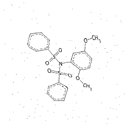 COc1ccc(OC)c(N(S(=O)(=O)c2ccccc2)S(=O)(=O)c2ccccc2)c1